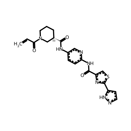 C=CC(=O)N1CCC[C@H](C(=O)Nc2ccc(NC(=O)c3csc(-c4ccn[nH]4)n3)nc2)C1